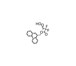 O=C(OCc1cc2ccccc2c2ccccc12)C(F)(F)SOO